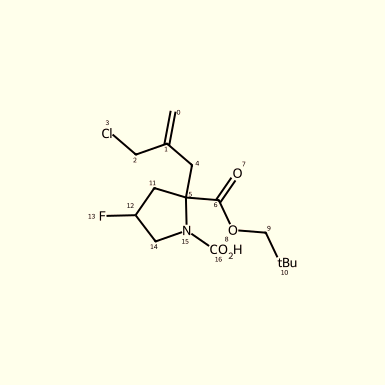 C=C(CCl)CC1(C(=O)OCC(C)(C)C)CC(F)CN1C(=O)O